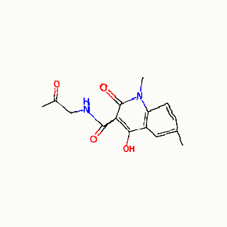 CC(=O)CNC(=O)c1c(O)c2cc(C)ccc2n(C)c1=O